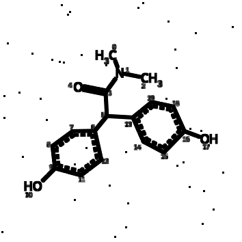 CN(C)C(=O)C(c1ccc(O)cc1)c1ccc(O)cc1